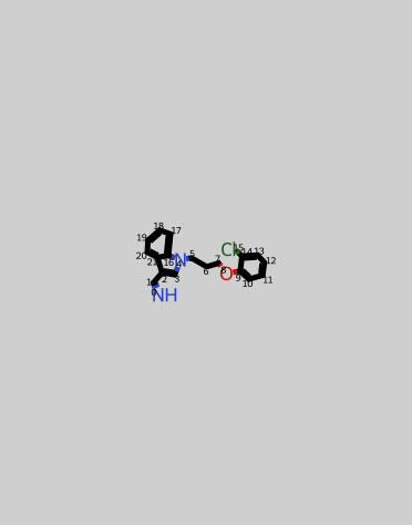 N=Cc1cn(CCCOc2ccccc2Cl)c2ccccc12